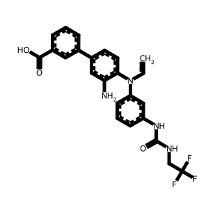 C=CN(c1cccc(NC(=O)NCC(F)(F)F)c1)c1ccc(-c2cccc(C(=O)O)c2)cc1N